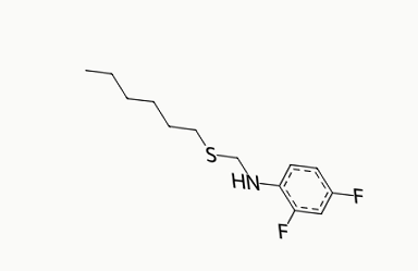 CCCCCCSCNc1ccc(F)cc1F